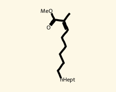 CCCCCCCCCCCCC=C(C)C(=O)OC